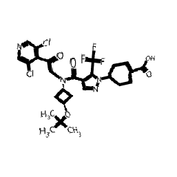 CC(C)(C)O[C@H]1C[C@H](N(CC(=O)c2c(Cl)cncc2Cl)C(=O)c2cnn(C3CCC(C(=O)O)CC3)c2C(F)(F)F)C1